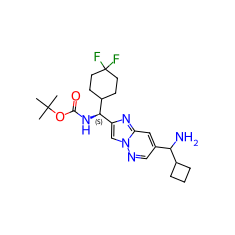 CC(C)(C)OC(=O)N[C@H](c1cn2ncc(C(N)C3CCC3)cc2n1)C1CCC(F)(F)CC1